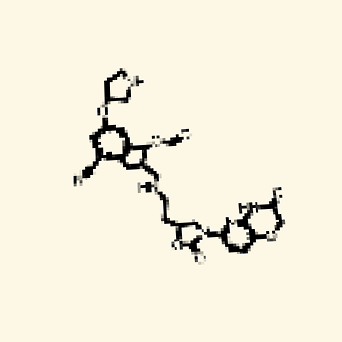 N#Cc1cc(OC2CCNC2)cc2c1CC(CNCCC1CN(c3ccc4c(n3)NC(=O)CO4)C(=O)O1)C2OC=O